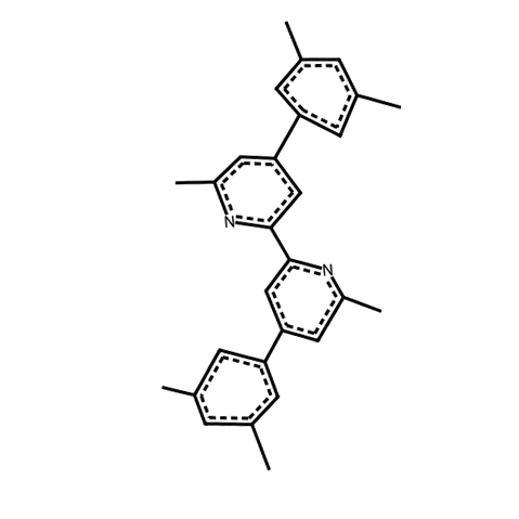 Cc1cc(C)cc(-c2cc(C)nc(-c3cc(-c4cc(C)cc(C)c4)cc(C)n3)c2)c1